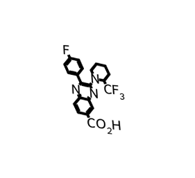 O=C(O)c1ccc2nc(-c3ccc(F)cc3)c(N3CCCCC3C(F)(F)F)nc2c1